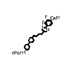 CCCCCC1CCC(C2CCC(/C=C/CCc3cnc(-c4ccc(OCCC)c(F)c4F)nc3)CC2)CC1